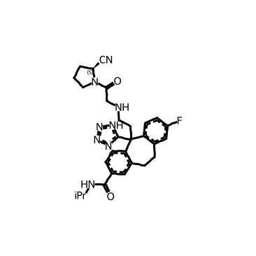 CC(C)NC(=O)c1ccc2c(c1)CCc1cc(F)ccc1C2(CCNCC(=O)N1CCC[C@H]1C#N)c1nnn[nH]1